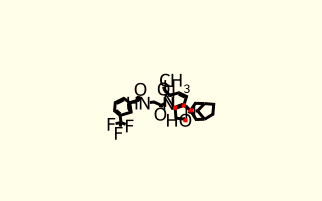 COc1ccc(C2(O)CC3CCC(C2)C3N2CCC(NC(=O)CNC(=O)c3cccc(C(F)(F)F)c3)C2)cn1